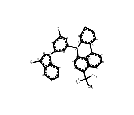 CC(C)(C)c1ccc(N(c2cc(Cl)cc(-n3cc(Br)c4ccccc43)c2)c2ccccc2-c2ccccc2)cc1